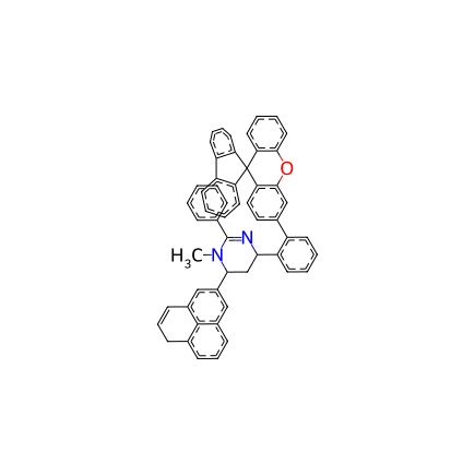 CN1C(c2ccccc2)=NC(c2ccccc2-c2ccc3c(c2)Oc2ccccc2C32c3ccccc3-c3ccccc32)CC1c1cc2c3c(cccc3c1)CC=C2